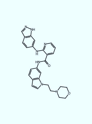 O=C(Nc1ccc2ccn(CCN3CCOCC3)c2c1)c1cccnc1Nc1ccc2cn[nH]c2c1